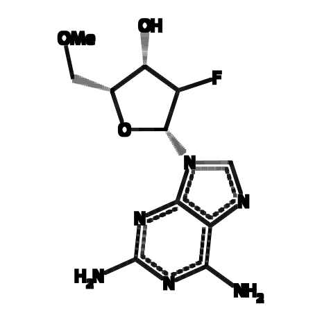 COC[C@H]1O[C@@H](n2cnc3c(N)nc(N)nc32)C(F)[C@H]1O